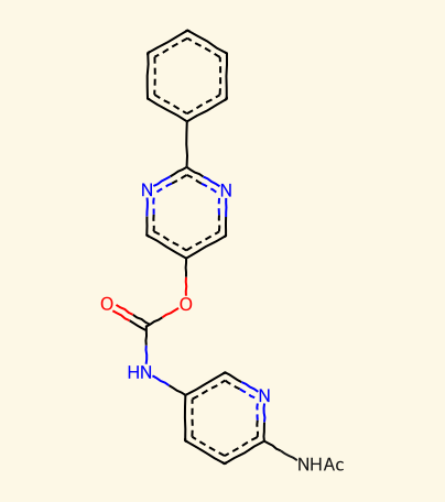 CC(=O)Nc1ccc(NC(=O)Oc2cnc(-c3ccccc3)nc2)cn1